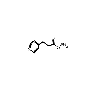 BOC(=O)CCc1ccncc1